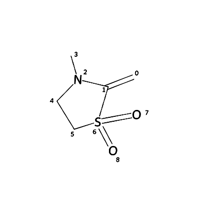 C=C1N(C)CCS1(=O)=O